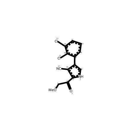 COCC(=O)c1[nH]cc(-c2cccc(Cl)c2Cl)c1C#N